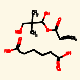 C=CC(=O)OC(O)C(C)(C)CO.O=C(O)CCCCC(=O)O